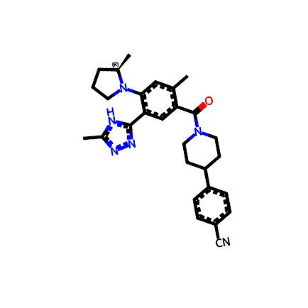 Cc1nnc(-c2cc(C(=O)N3CCC(c4ccc(C#N)cc4)CC3)c(C)cc2N2CCC[C@H]2C)[nH]1